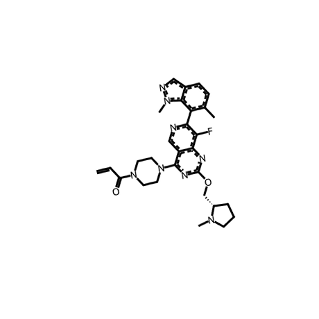 C=CC(=O)N1CCN(c2nc(OC[C@@H]3CCCN3C)nc3c(F)c(-c4c(C)ccc5cnn(C)c45)ncc23)CC1